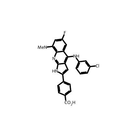 CNc1cc(F)cc2c(Nc3cccc(Cl)c3)c3cc(-c4ccc(C(=O)O)cc4)[nH]c3nc12